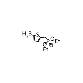 Bc1ccc(CP(=O)(OCC)OCC)s1